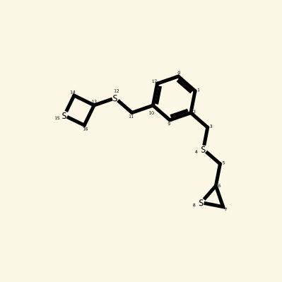 c1cc(CSCC2CS2)cc(CSC2CSC2)c1